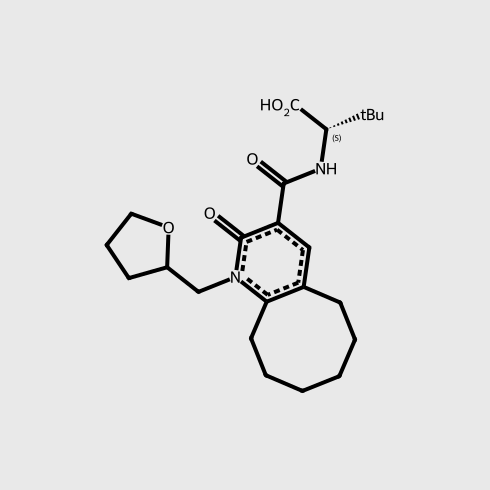 CC(C)(C)[C@H](NC(=O)c1cc2c(n(CC3CCCO3)c1=O)CCCCCC2)C(=O)O